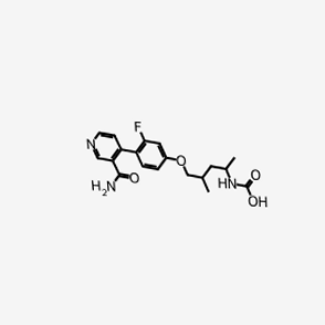 CC(COc1ccc(-c2ccncc2C(N)=O)c(F)c1)CC(C)NC(=O)O